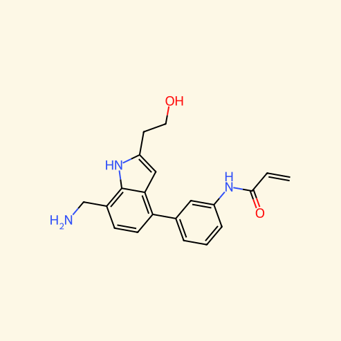 C=CC(=O)Nc1cccc(-c2ccc(CN)c3[nH]c(CCO)cc23)c1